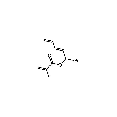 C=CC=CC(OC(=O)C(=C)C)C(C)C